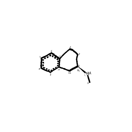 CN[C@@H]1CCc2ccccc2C1